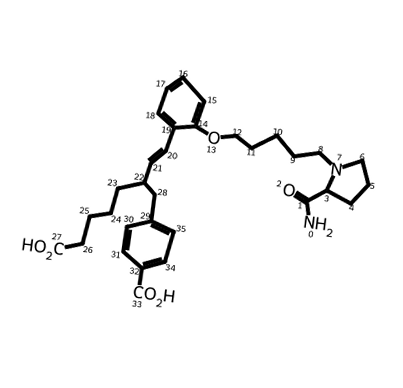 NC(=O)C1CCCN1CCCCCOc1ccccc1/C=C/C(CCCCC(=O)O)Cc1ccc(C(=O)O)cc1